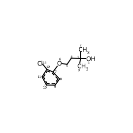 CC(C)(O)CCOc1cc[c]cc1Cl